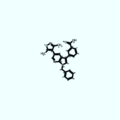 Cc1noc(C)c1-c1cnc2c(c1)c(-c1cccc(C(=O)O)c1)cn2Cc1ccccc1